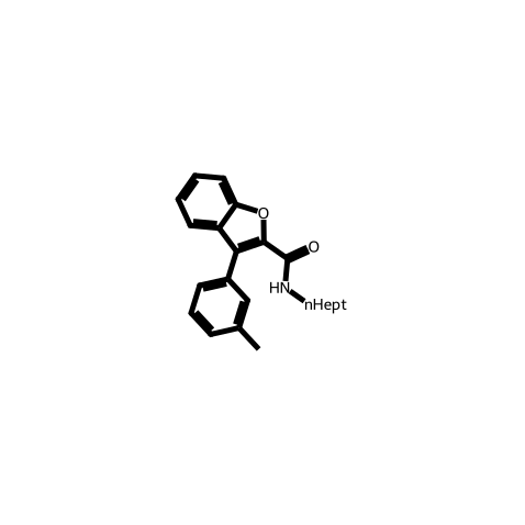 CCCCCCCNC(=O)c1oc2ccccc2c1-c1cccc(C)c1